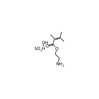 CC(C)=C(C)C(=O)OCCN.O=S(=O)(O)O